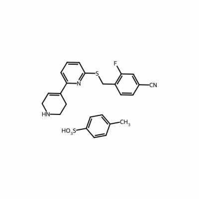 Cc1ccc(S(=O)(=O)O)cc1.N#Cc1ccc(CSc2cccc(C3=CCNCC3)n2)c(F)c1